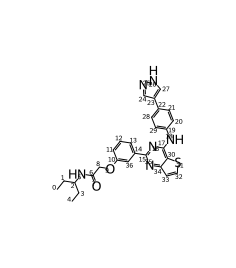 CCC(CC)NC(=O)COc1cccc(-c2nc(Nc3ccc(-c4cn[nH]c4)cc3)c3sccc3n2)c1